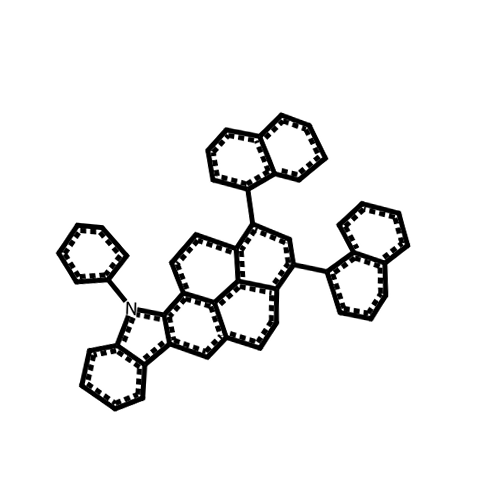 c1ccc(-n2c3ccccc3c3cc4ccc5c(-c6cccc7ccccc67)cc(-c6cccc7ccccc67)c6ccc(c4c56)c32)cc1